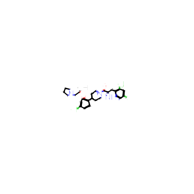 CC(CN1CCCC1)Oc1cc(Cl)ccc1C1CCN(C(=O)[C@H](N)Cc2ccc(Cl)cc2Cl)CC1